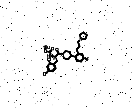 CC(C)(C)OC(=O)N[C@H](Cc1ccc(Cl)cc1Cl)C(=O)N1CCC(c2ccc(F)cc2CCCN2CCCC2)CC1